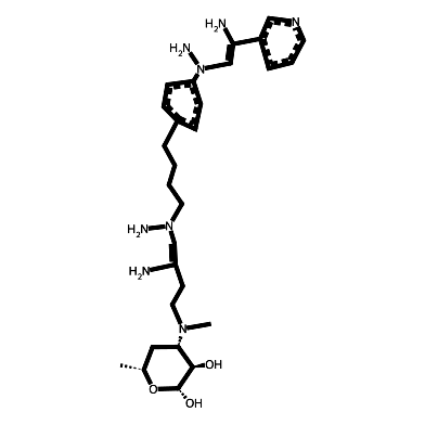 C[C@@H]1C[C@H](N(C)CC/C(N)=C/N(N)CCCCc2ccc(N(N)/C=C(\N)c3cccnc3)cc2)[C@@H](O)[C@H](O)O1